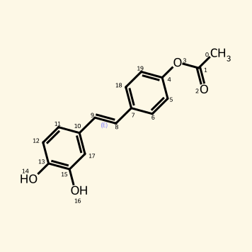 CC(=O)Oc1ccc(/C=C/c2ccc(O)c(O)c2)cc1